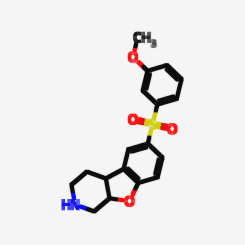 COc1cccc(S(=O)(=O)c2ccc3c(c2)C2CCNCC2O3)c1